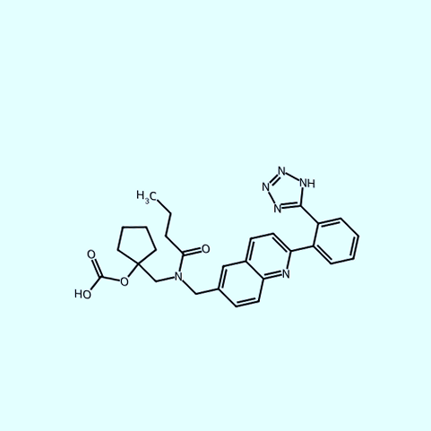 CCCC(=O)N(Cc1ccc2nc(-c3ccccc3-c3nnn[nH]3)ccc2c1)CC1(OC(=O)O)CCCC1